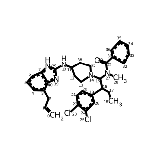 C=CCc1cccc2[nH]c(NC3CCN(C(C(CC)c4ccc(Cl)c(Cl)c4)N(C)C(=O)c4ccccc4)CC3)nc12